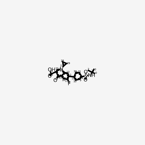 CC(C)(C)NS(=O)(=O)c1ccc(-c2cc3c(cc2F)c(=O)c(C(=O)O)cn3C2CC2)cc1